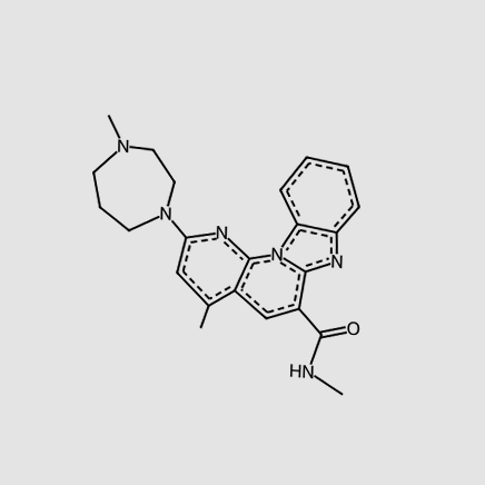 CNC(=O)c1cc2c(C)cc(N3CCCN(C)CC3)nc2n2c1nc1ccccc12